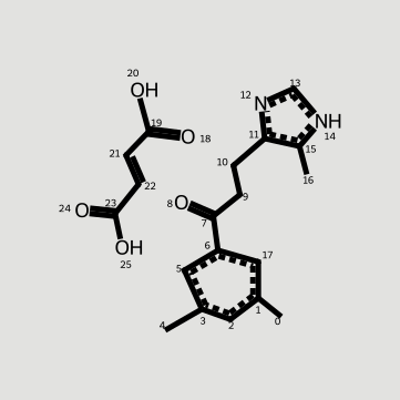 Cc1cc(C)cc(C(=O)CCc2nc[nH]c2C)c1.O=C(O)C=CC(=O)O